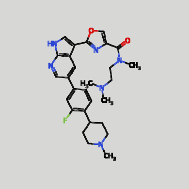 CN(C)CCN(C)C(=O)c1coc(-c2c[nH]c3ncc(-c4ccc(C5CCN(C)CC5)c(F)c4)cc23)n1